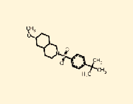 CO[C@H]1CCC2CN(S(=O)(=O)c3ccc(C(C)(C)C)cc3)CCC2C1